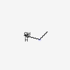 CCCCCCCC/C=C\CCCCCCCCONC(C)O